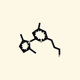 Cc1cc(CCCF)nc(-n2c(C)ccc2C)c1